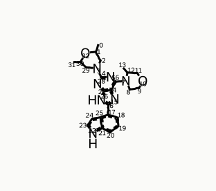 CC1CN(c2nc(N3CCOCC3C)c3nc(-c4cccc5[nH]ccc45)[nH]c3n2)CC(C)O1